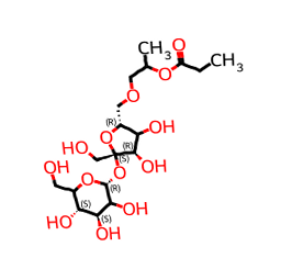 CCC(=O)OC(C)COC[C@H]1O[C@@](CO)(O[C@H]2OC(CO)[C@@H](O)[C@H](O)C2O)[C@H](O)C1O